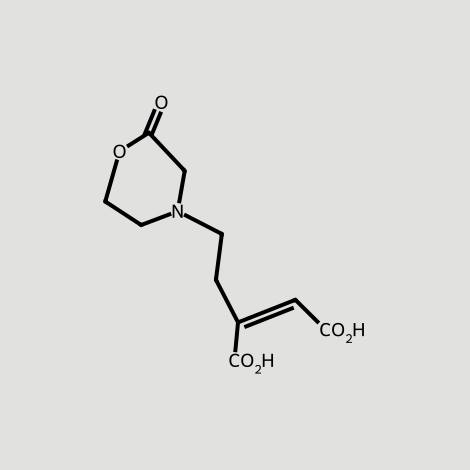 O=C(O)C=C(CCN1CCOC(=O)C1)C(=O)O